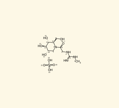 CNC(=N)NCC(=O)N1C[C@H](O)[C@@H](O)[C@H](O)[C@H]1CO.O=S(=O)(O)O